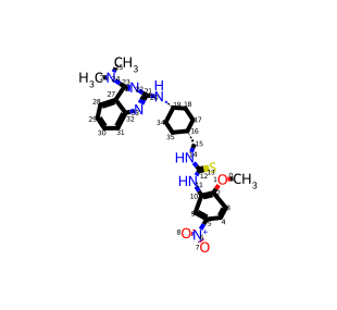 COc1ccc([N+](=O)[O-])cc1NC(=S)NC[C@H]1CC[C@@H](Nc2nc(N(C)C)c3ccccc3n2)CC1